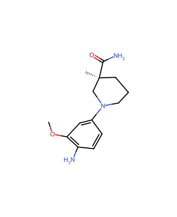 COc1cc(N2CCC[C@](C)(C(N)=O)C2)ccc1N